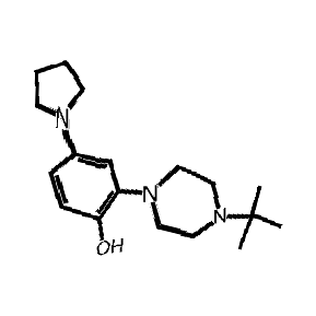 CC(C)(C)N1CCN(c2cc(N3CCCC3)ccc2O)CC1